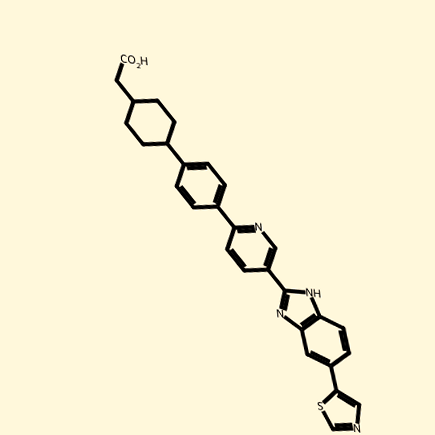 O=C(O)CC1CCC(c2ccc(-c3ccc(-c4nc5cc(-c6cncs6)ccc5[nH]4)cn3)cc2)CC1